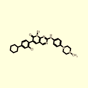 CCn1c(=O)c(-c2ccc(C3CCCCC3)cc2Cl)cc2cnc(Nc3ccc(N4CCN(C)CC4)cc3)nc21